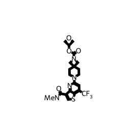 CNC(=O)c1csc2c(C(F)(F)F)cc(N3CCC4(CC3)CN(C(=O)OC3COC3)C4)nc12